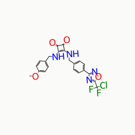 COc1ccc(CNc2c(NCc3ccc(-c4noc(C(F)(F)Cl)n4)cc3)c(=O)c2=O)cc1